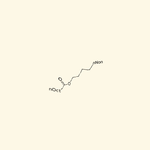 CCCCCCCCCCCCCOC(=O)CCCCCCCC